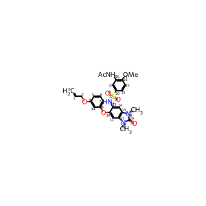 C=CCOc1cccc(Oc2cc3c(cc2NS(=O)(=O)c2ccc(OC)c(NC(C)=O)c2)n(C)c(=O)n3C)c1